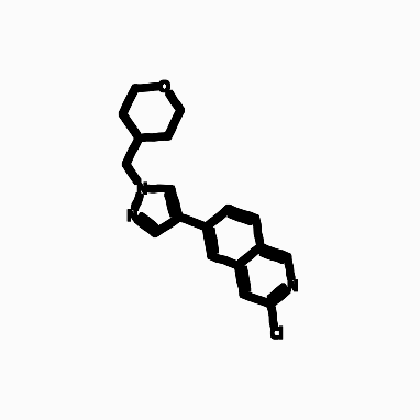 Clc1cc2cc(-c3cnn(CC4CCOCC4)c3)ccc2cn1